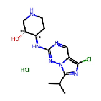 CC(C)c1nc(Cl)c2cnc(N[C@@H]3CCNC[C@H]3O)nn12.Cl